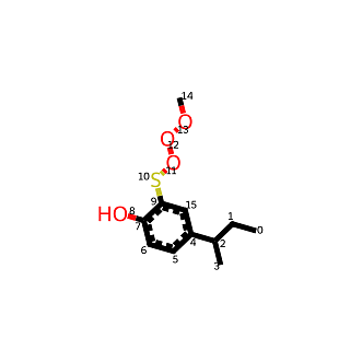 CCC(C)c1ccc(O)c(SOOOC)c1